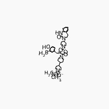 Bc1cc(C[C@@H](OC(=O)N2CCC(N3CCc4ccccc4NC3=O)CC2)C(=O)N2CCC(C3CCN([S+]([O-])N(C)C)CC3)CC2)ccc1O